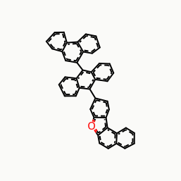 c1ccc2c(c1)cc(-c1c3ccccc3c(-c3ccc4c(c3)oc3ccc5ccccc5c34)c3ccccc13)c1ccccc12